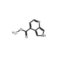 COC(=O)c1ccnc2c[nH]cc12